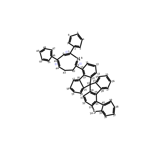 C1=C(c2ccccc2)\N=C(\c2cccc3c2-c2ccccc2C32c3ccccc3-c3c2ccc2sc4ccccc4c32)CC\C=C/1c1ccccc1